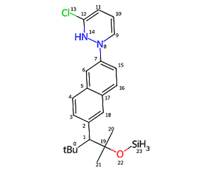 CC(C)(C)C(c1ccc2cc(N3C=CC=C(Cl)N3)ccc2c1)C(C)(C)O[SiH3]